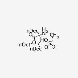 CCCCCCCCCCCCC(N)(CCCCCCCCCC)C(=O)OCCCCCCCC.CCS(=O)(=O)O